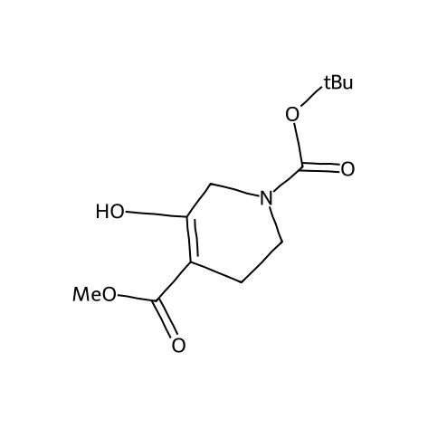 COC(=O)C1=C(O)CN(C(=O)OC(C)(C)C)CC1